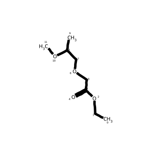 CCOC(=O)COCC(C)OC